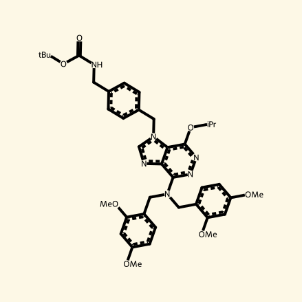 COc1ccc(CN(Cc2ccc(OC)cc2OC)c2nnc(OC(C)C)c3c2ncn3Cc2ccc(CNC(=O)OC(C)(C)C)cc2)c(OC)c1